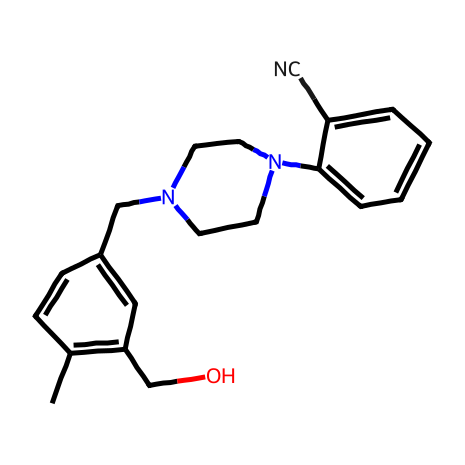 Cc1ccc(CN2CCN(c3ccccc3C#N)CC2)cc1CO